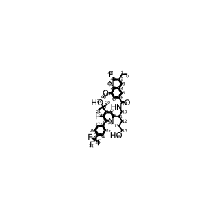 CCc1cc2cc(C(=O)NCC(CCCO)c3cc(C(C)(C)O)c(F)c(-c4ccc(C(F)(F)F)cc4)n3)cc(OC)c2nc1F